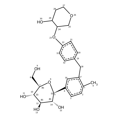 Cc1ccc([C@@H]2O[C@H](CO)[C@@H](O)[C@H](O)[C@H]2O)cc1Cc1ccc(OC2COCCC2O)cc1